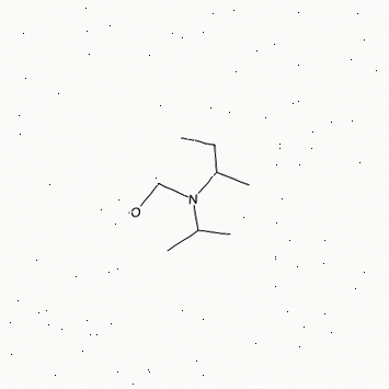 CCC(C)N(C[O])C(C)C